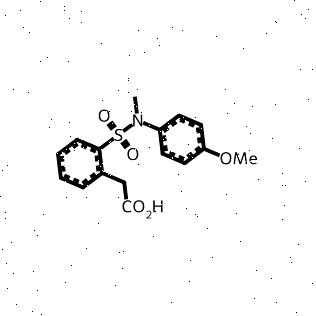 COc1ccc(N(C)S(=O)(=O)c2ccccc2CC(=O)O)cc1